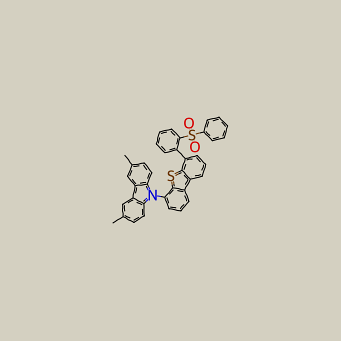 Cc1ccc2c(c1)c1cc(C)ccc1n2-c1cccc2c1sc1c(-c3ccccc3S(=O)(=O)c3ccccc3)cccc12